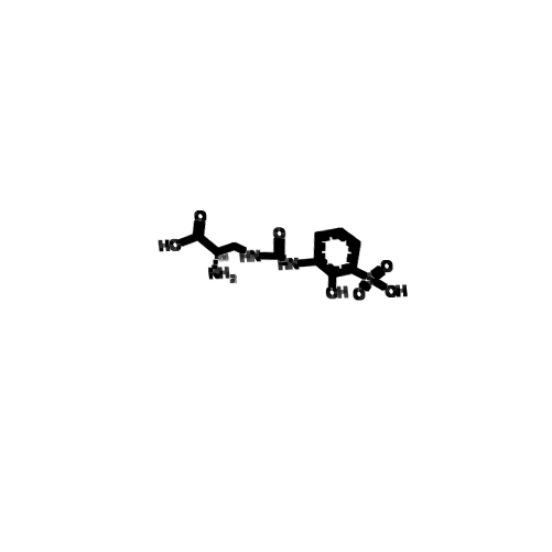 N[C@@H](CNC(=O)Nc1cccc(S(=O)(=O)O)c1O)C(=O)O